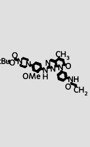 C=CC(=O)Nc1cccc(-n2c(=O)cc(C)c3cnc(Nc4ccc(N5CCN(C(=O)OC(C)(C)C)CC5)cc4OC)nc32)c1